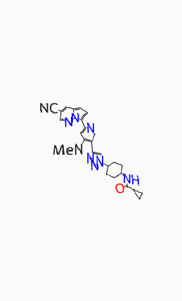 CNc1cc(-c2ccc3cc(C#N)cnn23)ncc1-c1cn(C2CCC(NC(=O)C3CC3)CC2)nn1